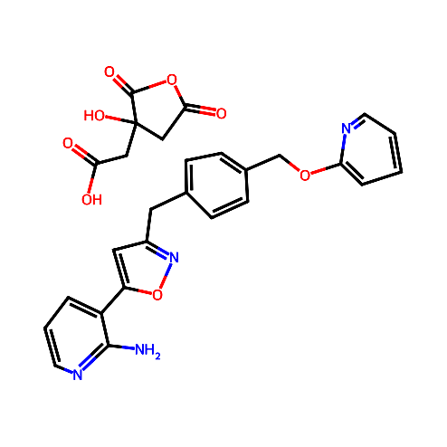 Nc1ncccc1-c1cc(Cc2ccc(COc3ccccn3)cc2)no1.O=C(O)CC1(O)CC(=O)OC1=O